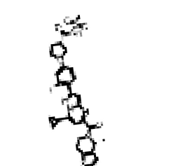 C[C@@H]1c2ccsc2CCN1C(=O)c1cc(C2CC2)n2nc(-c3ccc(N4CC[C@H](C(=O)NS(C)(=O)=O)C4)cc3F)cc2n1